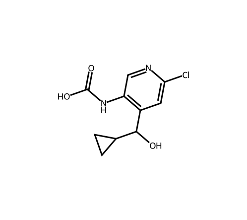 O=C(O)Nc1cnc(Cl)cc1C(O)C1CC1